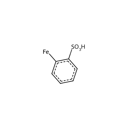 O=S(=O)(O)c1cccc[c]1[Fe]